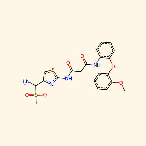 COc1ccccc1Oc1ccccc1NC(=O)CC(=O)Nc1nc(C(N)S(C)(=O)=O)cs1